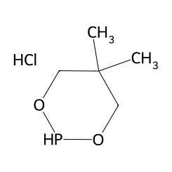 CC1(C)COPOC1.Cl